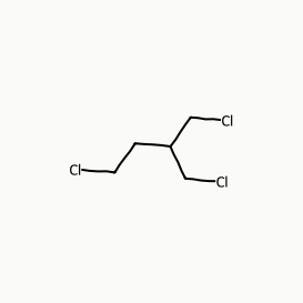 ClCCC(CCl)CCl